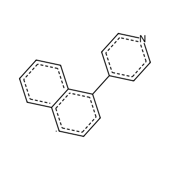 [c]1ccc(-c2ccncc2)c2ccccc12